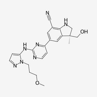 COCCCn1nccc1Nc1nccc(-c2cc(C#N)c3c(c2)[C@](C)(CO)CN3)n1